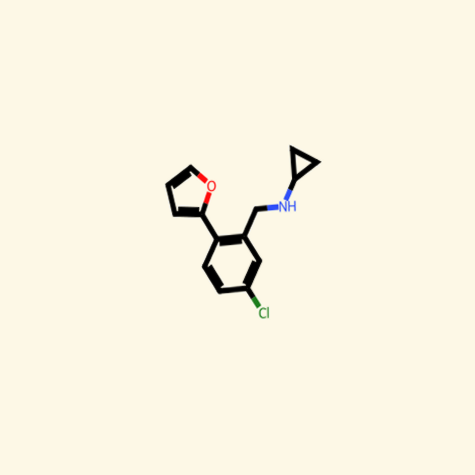 Clc1ccc(-c2ccco2)c(CNC2CC2)c1